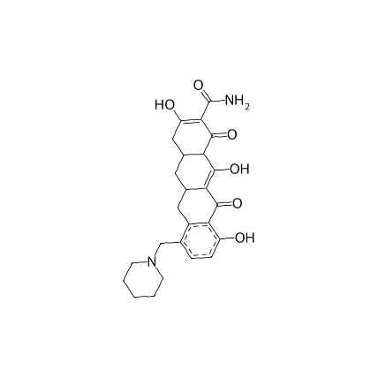 NC(=O)C1=C(O)CC2CC3Cc4c(CN5CCCCC5)ccc(O)c4C(=O)C3=C(O)C2C1=O